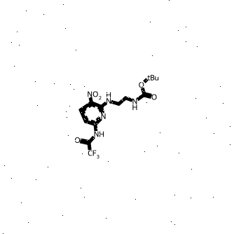 CC(C)(C)OC(=O)NCCNc1nc(NC(=O)C(F)(F)F)ccc1[N+](=O)[O-]